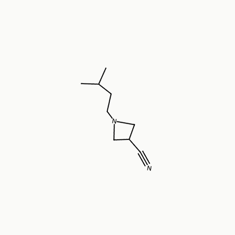 CC(C)CCN1CC(C#N)C1